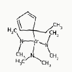 CC[C]1([Zr]([N](C)C)([N](C)C)[N](C)C)C=CC=C1